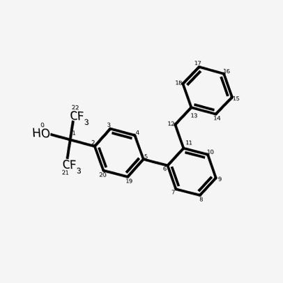 OC(c1ccc(-c2ccccc2Cc2ccccc2)cc1)(C(F)(F)F)C(F)(F)F